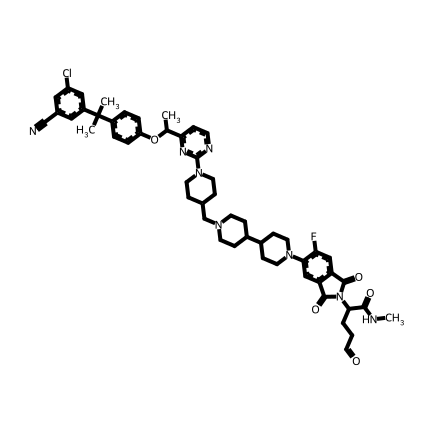 CNC(=O)C(CCC=O)N1C(=O)c2cc(F)c(N3CCC(C4CCN(CC5CCN(c6nccc(C(C)Oc7ccc(C(C)(C)c8cc(Cl)cc(C#N)c8)cc7)n6)CC5)CC4)CC3)cc2C1=O